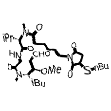 CCCCSC1CC(=O)N(CCCCCC(=O)N(C)[C@H](C(=O)NCC(=O)N(C)[C@@H]([C@@H](C)CC)[C@@H](CC=O)OC)C(C)C)C1=O